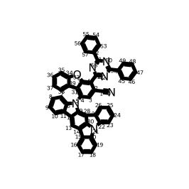 N#Cc1cc(-n2c3ccccc3c3cc4c5ccccc5n5c6ccccc6c(c32)c45)c2c(oc3ccccc32)c1-c1nc(-c2ccccc2)nc(-c2ccccc2)n1